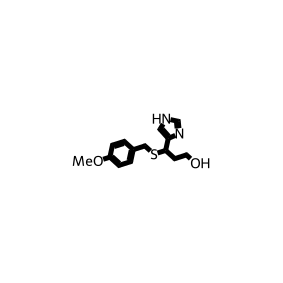 COc1ccc(CSC(CCO)c2c[nH]cn2)cc1